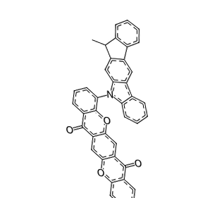 CC1c2ccccc2-c2cc3c4ccccc4n(-c4cccc5c(=O)c6cc7oc8ccccc8c(=O)c7cc6oc45)c3cc21